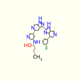 CCCCC(O)Nc1cncc(-c2cc3c(-c4nc5c(-c6cccc(F)c6)cncc5[nH]4)n[nH]c3cn2)c1